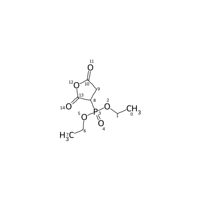 CCOP(=O)(OCC)C1CC(=O)OC1=O